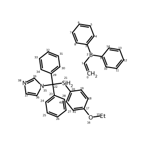 C=CB(c1ccccc1)c1ccccc1.CCOc1ccc([SiH2]C(c2ccccc2)(c2ccccc2)n2ccnc2)cc1